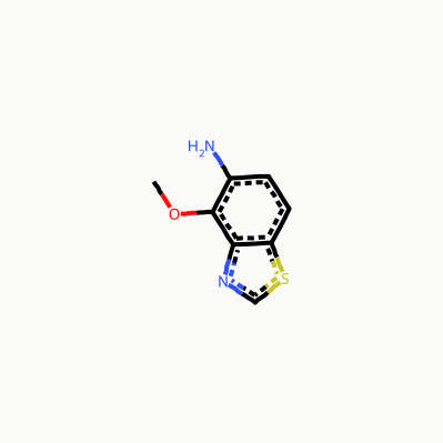 COc1c(N)ccc2scnc12